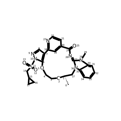 C[C@@H]1CCCOc2c(cnn2S(=O)(=O)CC2CC2)-c2cc(ccn2)C(=O)/N=C2\N(C)c3ccccc3N2C1